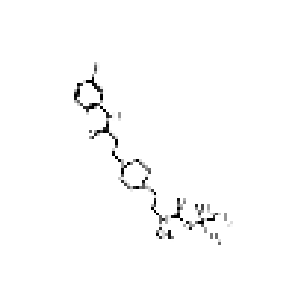 CN(CCN1CCN(CCC(=O)Nc2cc(Br)ccn2)CC1)C(=O)OC(C)(C)C